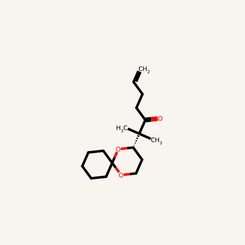 C=CCCC(=O)C(C)(C)[C@@H]1CCOC2(CCCCC2)O1